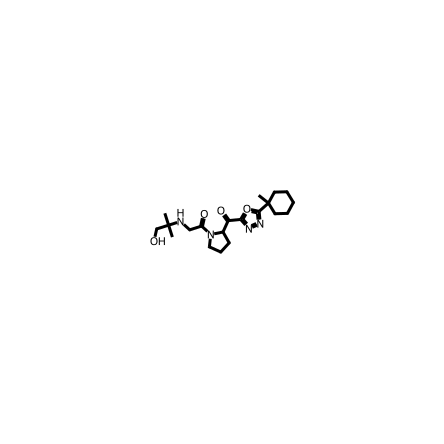 CC(C)(CO)NCC(=O)N1CCCC1C(=O)c1nnc(C2(C)CCCCC2)o1